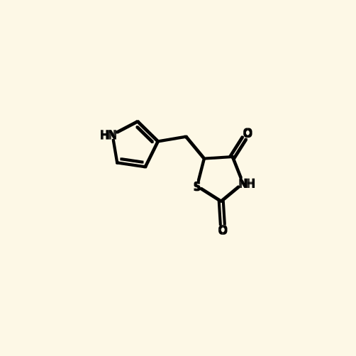 O=C1NC(=O)C(Cc2cc[nH]c2)S1